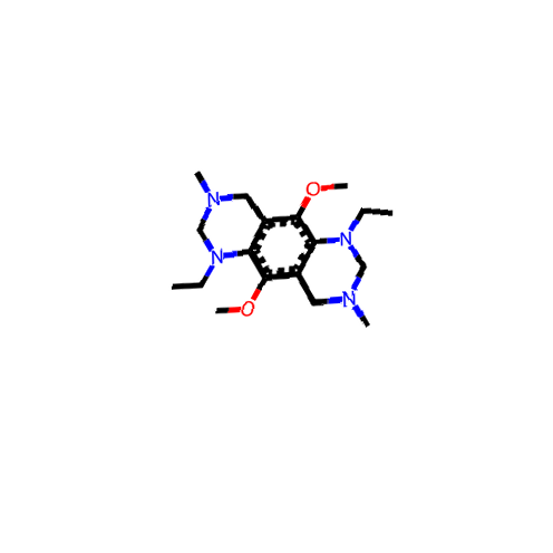 CCN1CN(C)Cc2c(OC)c3c(c(OC)c21)CN(C)CN3CC